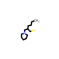 CCCCC(CS)CN1CCCCC1